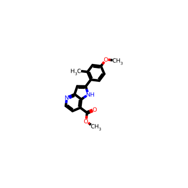 COC(=O)c1ccnc2cc(-c3ccc(OC)cc3C)[nH]c12